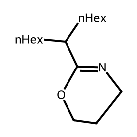 CCCCCCC(CCCCCC)C1=NCCCO1